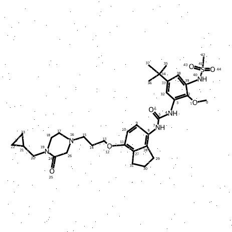 COc1c(NC(=O)Nc2ccc(OCCCN3CCN(CC4CC4)C(=O)C3)c3c2CCC3)cc(C(C)(C)C)cc1NS(C)(=O)=O